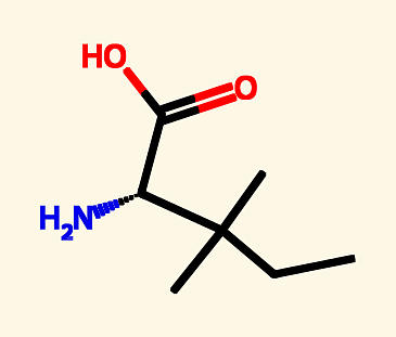 CCC(C)(C)[C@H](N)C(=O)O